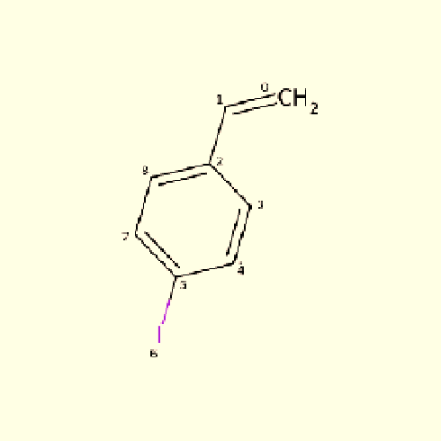 C=Cc1c[c]c(I)cc1